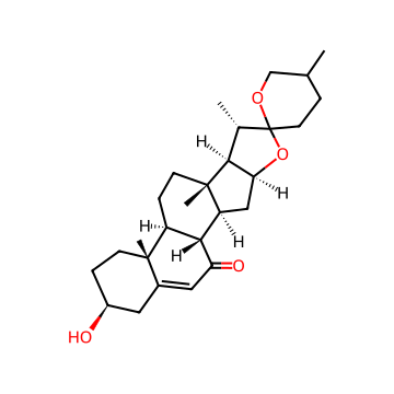 CC1CCC2(OC1)O[C@H]1C[C@H]3[C@@H]4C(=O)C=C5C[C@@H](O)CC[C@]5(C)[C@H]4CC[C@]3(C)[C@H]1[C@@H]2C